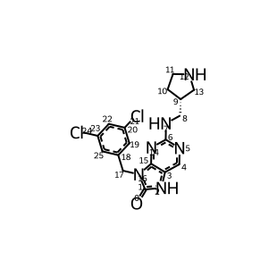 O=c1[nH]c2cnc(NC[C@@H]3CCNC3)nc2n1Cc1cc(Cl)cc(Cl)c1